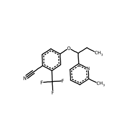 CCC(Oc1ccc(C#N)c(C(F)(F)F)c1)c1cccc(C)n1